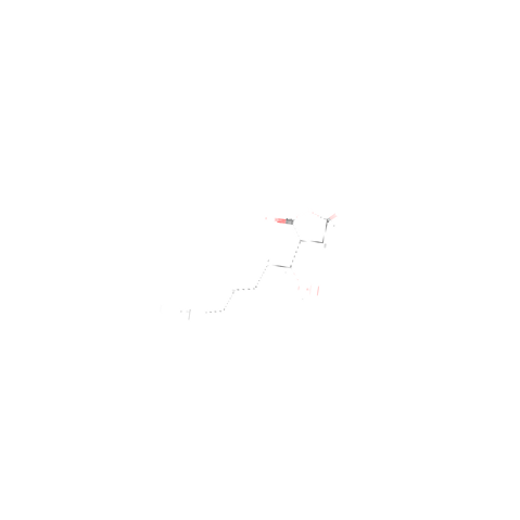 CCCCCCCCCCCC(O)C1CC(=O)OC1=O